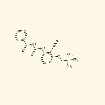 CC(C)(C)COc1cccc(NC(=O)NC(=O)c2ccccc2)c1C#N